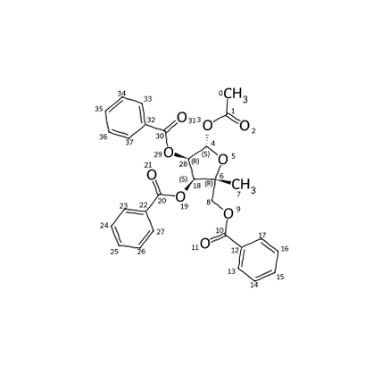 CC(=O)O[C@@H]1O[C@](C)(COC(=O)c2ccccc2)[C@@H](OC(=O)c2ccccc2)[C@H]1OC(=O)c1ccccc1